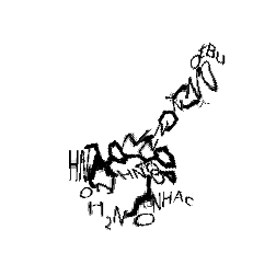 CC(=O)N[C@@H](CC(N)=O)C(=O)NC[C@](OC1CC1)(c1ccccc1)c1nc(N2CCC(N3C[C@@H](C)N(C(=O)OC(C)(C)C)C[C@@H]3C)CC2)nc2ccc(-c3cn(C)c(=O)c4[nH]ccc34)cc12